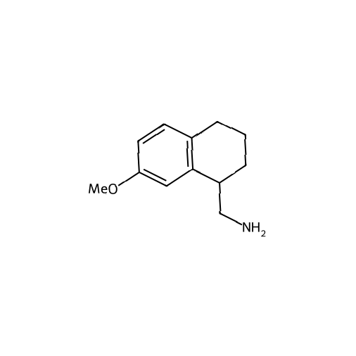 COc1ccc2c(c1)C(CN)CCC2